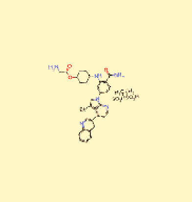 CCc1cn(-c2ccc(C(N)=O)c(N[C@H]3CC[C@H](OC(=O)CN)CC3)c2)c2nccc(-c3cnc4ccccc4c3)c12.CS(=O)(=O)O.CS(=O)(=O)O